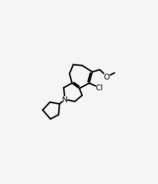 COCC1=C(Cl)C2=C(CCC1)CN(C1CCCC1)CC2